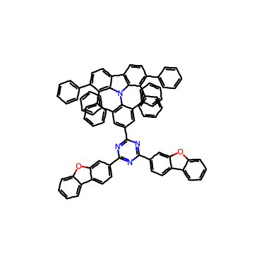 c1ccc(-c2cc(-c3nc(-c4ccc5c(c4)oc4ccccc45)nc(-c4ccc5c(c4)oc4ccccc45)n3)cc(-c3ccccc3)c2-n2c3c(-c4ccccc4)c(-c4ccccc4)ccc3c3ccc(-c4ccccc4)c(-c4ccccc4)c32)cc1